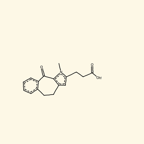 Cn1c(CCC(=O)O)cc2c1C(=O)c1ccccc1CC2